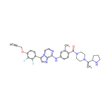 C#CCOc1ccc(-c2cnc3c(Nc4ccc(C(=O)N5CCN(C(=C)C6CCCN6)CC5)c(C)c4)nccn23)c(F)c1F